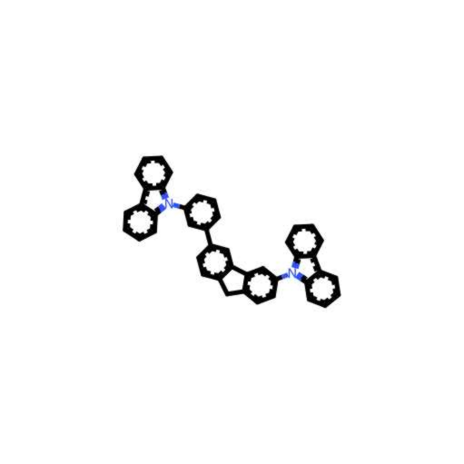 c1cc(-c2ccc3c(c2)-c2cc(-n4c5ccccc5c5ccccc54)ccc2C3)cc(-n2c3ccccc3c3ccccc32)c1